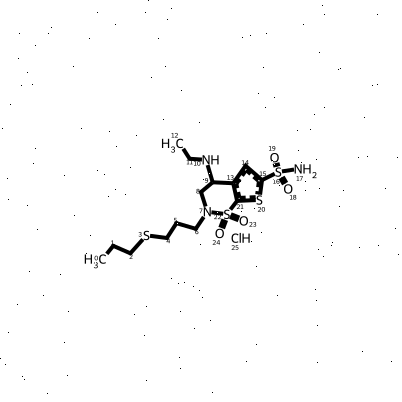 CCCSCCCN1CC(NCC)c2cc(S(N)(=O)=O)sc2S1(=O)=O.Cl